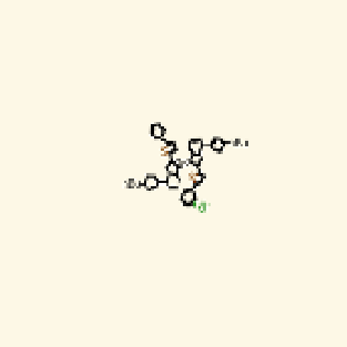 CCCCc1ccc(-c2cccc3c2C=C(c2ccc(-c4ccccc4)s2)[CH]3[Zr+2][CH]2C(c3ccc(-c4ccccc4)s3)=Cc3c(-c4ccc(CCCC)cc4)cccc32)cc1.[Cl-].[Cl-]